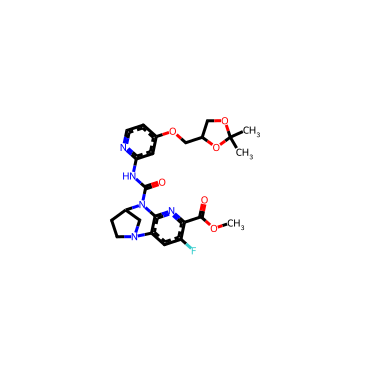 COC(=O)c1nc2c(cc1F)N1CCC(C1)N2C(=O)Nc1cc(OCC2COC(C)(C)O2)ccn1